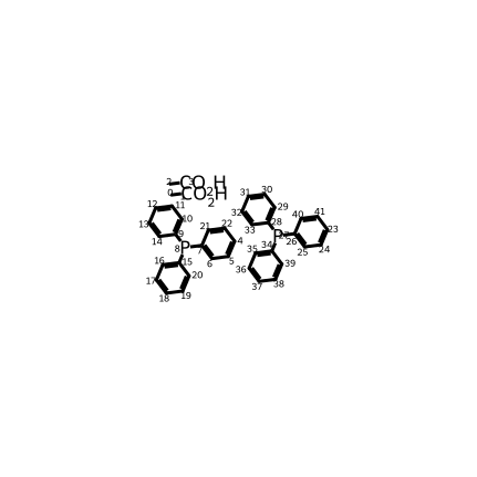 CC(=O)O.CC(=O)O.c1ccc(P(c2ccccc2)c2ccccc2)cc1.c1ccc(P(c2ccccc2)c2ccccc2)cc1